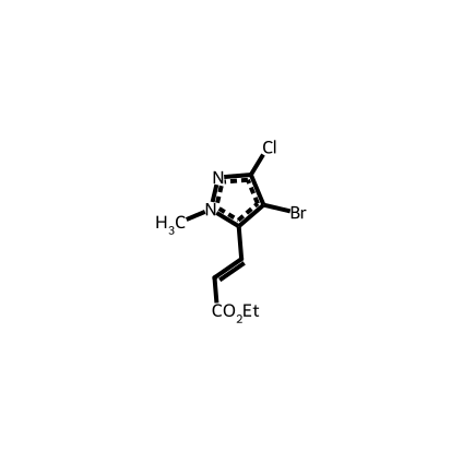 CCOC(=O)/C=C/c1c(Br)c(Cl)nn1C